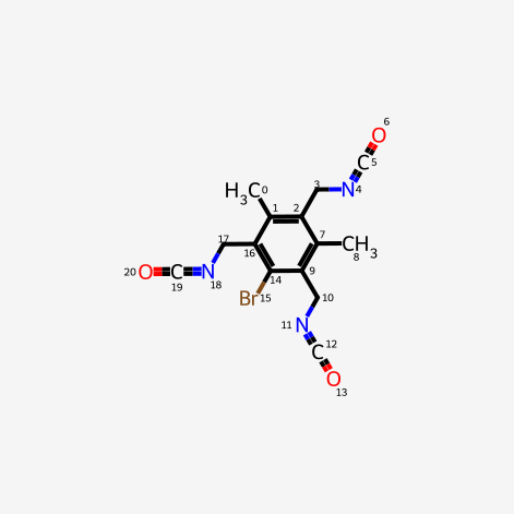 Cc1c(CN=C=O)c(C)c(CN=C=O)c(Br)c1CN=C=O